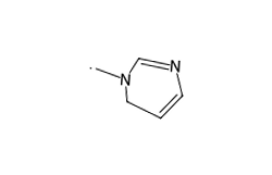 [CH2]N1C=NC=CC1